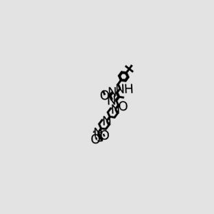 COc1nc(NCc2ccc(C(C)(C)C)cc2)c(C)c(C(=O)N2CCC(N3CCC(N(C)S(C)(=O)=O)CC3)CC2)n1